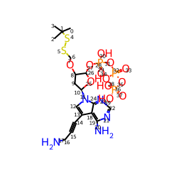 CC(C)(C)SSCOC1C[C@H](n2cc(C#CCN)c3c(N)ncnc32)O[C@@H]1OP(=O)(O)OP(=O)(O)OP(=O)(O)O